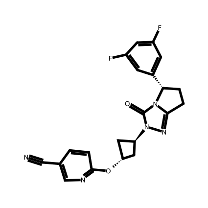 N#Cc1ccc(O[C@H]2C[C@H](n3nc4n(c3=O)[C@H](c3cc(F)cc(F)c3)CC4)C2)nc1